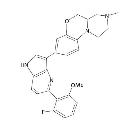 COc1cccc(F)c1-c1ccc2[nH]cc(-c3ccc4c(c3)OCC3CN(C)CCN43)c2n1